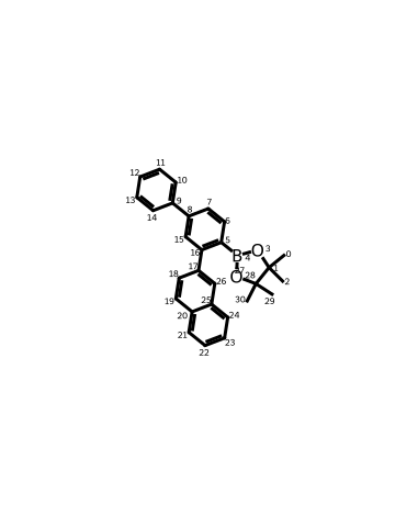 CC1(C)OB(c2ccc(-c3ccccc3)cc2-c2ccc3ccccc3c2)OC1(C)C